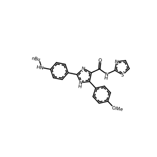 CCCCNc1ccc(-c2nc(C(=O)Nc3nccs3)c(-c3ccc(OC)cc3)[nH]2)cc1